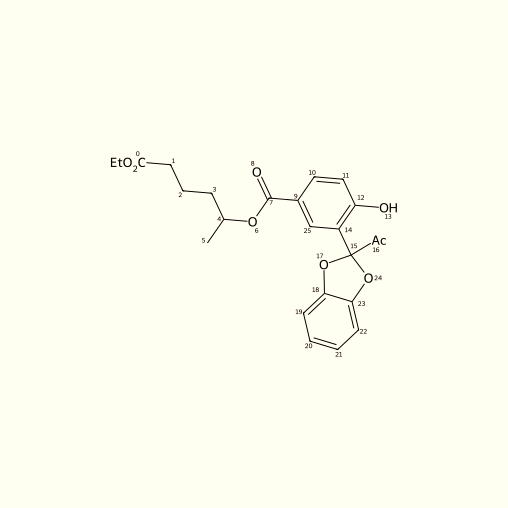 CCOC(=O)CCCC(C)OC(=O)c1ccc(O)c(C2(C(C)=O)Oc3ccccc3O2)c1